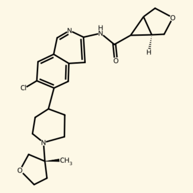 C[C@@]1(N2CCC(c3cc4cc(NC(=O)C5C6COC[C@H]65)ncc4cc3Cl)CC2)CCOC1